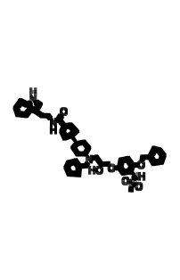 CS(=O)(=O)Nc1cc(OC[C@@H](O)CN(Cc2ccccc2)[C@H]2CC[C@H](c3ccc(C(=O)NCCc4c[nH]c5ccccc45)cc3)CC2)ccc1OCc1ccccc1